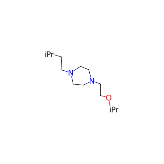 CC(C)CCN1CCN(CCOC(C)C)CC1